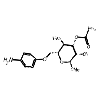 CO[C@H]1O[C@H](COc2ccc(N)cc2)[C@@H](O)[C@H](OC(N)=O)[C@@H]1O